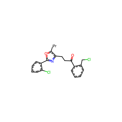 CC(C)c1oc(-c2ccccc2Cl)nc1CCC(=O)c1ccccc1CCl